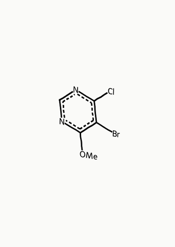 COc1ncnc(Cl)c1Br